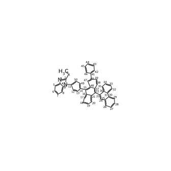 CCc1nc2ccccc2n1-c1ccc(-c2c3ccccc3c(-c3cc4ccccc4c4ccccc34)c3ccc(-c4ccccc4)cc23)cc1